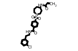 C=CC(=O)NC1CCCN(S(=O)(=O)c2ccc(C(=O)NCCc3cccc(Cl)c3)cc2)CC1